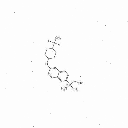 CC(F)(F)C1CCC(Oc2ccc3cc([C@@](C)(N)CO)ccc3c2)CC1